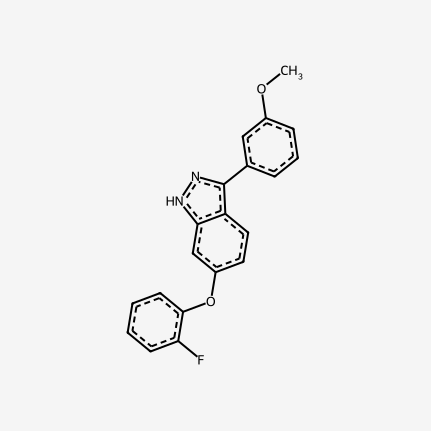 COc1cccc(-c2n[nH]c3cc(Oc4ccccc4F)ccc23)c1